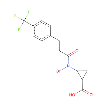 O=C(O)C1CC1N(Br)C(=O)CCc1ccc(C(F)(F)F)cc1